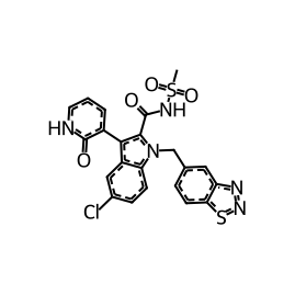 CS(=O)(=O)NC(=O)c1c(-c2ccc[nH]c2=O)c2cc(Cl)ccc2n1Cc1ccc2snnc2c1